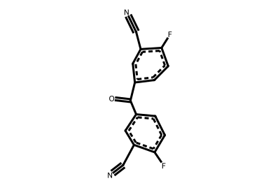 N#Cc1cc(C(=O)c2ccc(F)c(C#N)c2)ccc1F